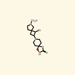 CCC1C(N2CCC3(CC2)OC(=O)NC32CCC2)CC12CCN(C(=O)O)C2